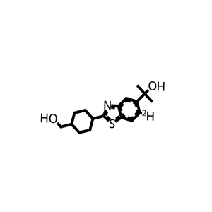 [2H]c1cc2sc(C3CCC(CO)CC3)nc2cc1C(C)(C)O